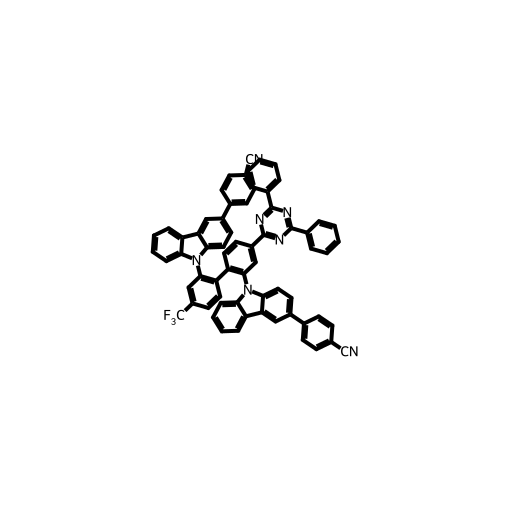 N#Cc1ccc(-c2ccc3c(c2)c2ccccc2n3-c2cc(-c3nc(-c4ccccc4)nc(-c4ccccc4)n3)ccc2-c2ccc(C(F)(F)F)cc2-n2c3ccccc3c3cc(-c4ccc(C#N)cc4)ccc32)cc1